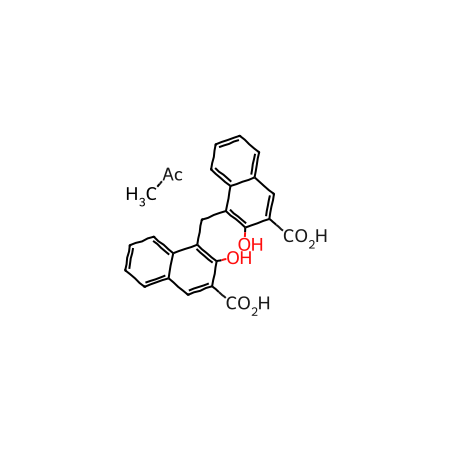 CC(C)=O.O=C(O)c1cc2ccccc2c(Cc2c(O)c(C(=O)O)cc3ccccc23)c1O